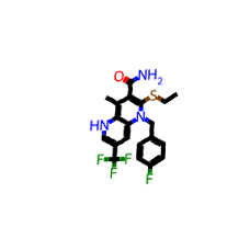 CCSC1=C(C(N)=O)C(C)=C2NC=C(C(F)(F)F)C=C2N1Cc1ccc(F)cc1